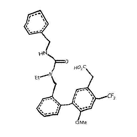 CCN(Cc1ccccc1-c1cc(CC(=O)O)c(C(F)(F)F)cc1OC)C(=O)NCc1ccccc1